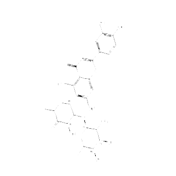 CC1O[C@H](c2c(O)cc3oc(-c4ccc(O)c(O)c4)cc(=O)c3c2O)C(O[C@@H]2OC(C)[C@H](O)[C@H](O)C2O)[C@@H](O)C1=O